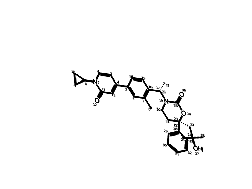 Cc1cc(-c2ccn(C3CC3)c(=O)c2)ccc1[C@H](C)N1CC[C@](CC(C)(C)O)(c2ccccc2)OC1=O